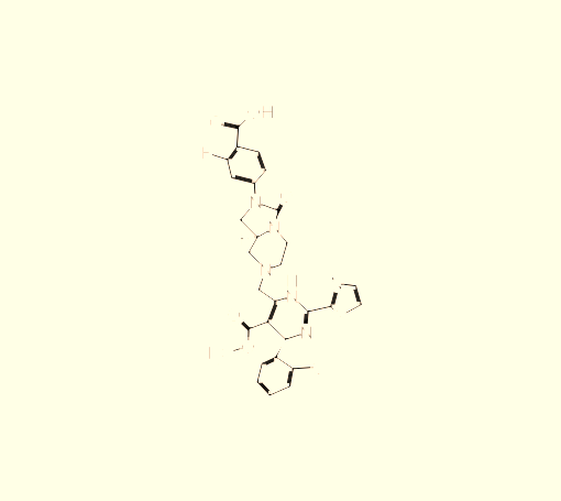 COC(=O)C1=C(CN2CCN3C(=O)N(c4ccc(C(=O)O)c(F)c4)C[C@@H]3C2)NC(c2nccs2)=N[C@H]1c1ccccc1Cl